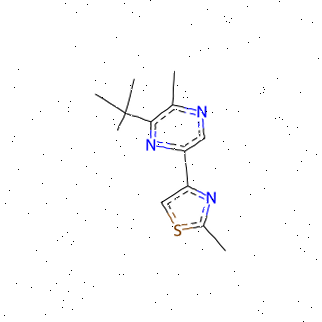 Cc1nc(-c2cnc(C)c(C(C)(C)C)n2)cs1